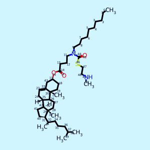 CCCCCCCCCCN(CCCC(=O)O[C@H]1CC[C@@]2(C)C(=CC[C@@H]3C2CC[C@]2(C)[C@@H]([C@H](C)CCCC(C)C)CC[C@@H]32)C1)C(=O)SCCNC